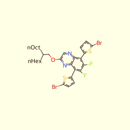 CCCCCCCCC(CCCCCC)COc1cnc2c(-c3ccc(Br)s3)c(F)c(F)c(-c3ccc(Br)s3)c2n1